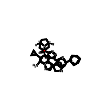 Nc1c(C2CC2)c([C@H]2C[C@H]3CC[C@@H](C2)N3C(=O)c2nnc(N3CCNCC3)[nH]2)nc2c(-c3ccc(-c4ccccc4)nc3)cnn12